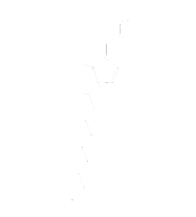 CCCCCCCCCCCCCCCCCCN1C=CN(CCCCCCCCCCCC)C1CCCCCCCC